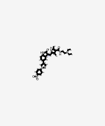 CCN(CC)CCNC(=O)c1c(C)[nH]c(/C=C2\C(=O)Nc3ccc(-c4cnn(-c5ccc([N+](=O)[O-])cc5)c4)cc32)c1C